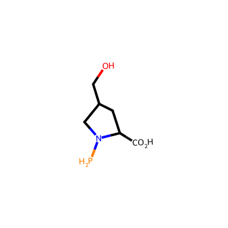 O=C(O)C1CC(CO)CN1P